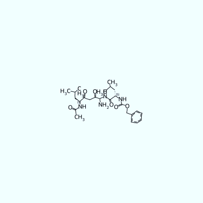 CC(=O)N[C@@H](CC(C)C)C(=O)CC(=O)C(N)NC(=O)[C@H](CC(C)C)NC(=O)OCc1ccccc1